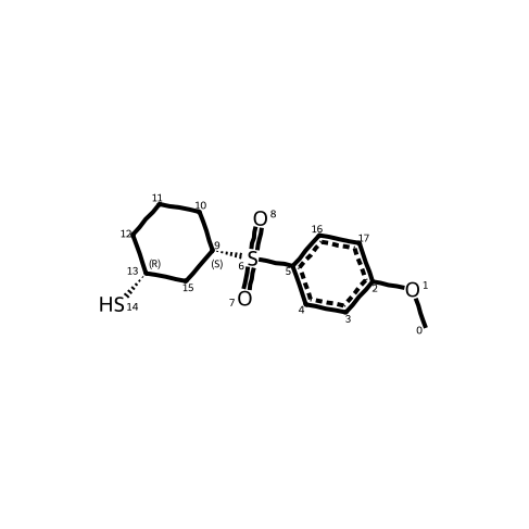 COc1ccc(S(=O)(=O)[C@H]2CCC[C@@H](S)C2)cc1